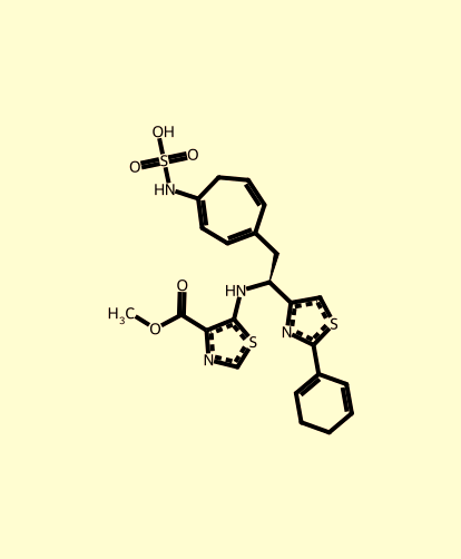 COC(=O)c1ncsc1N[C@@H](CC1=CC=C(NS(=O)(=O)O)CC=C1)c1csc(C2=CCCC=C2)n1